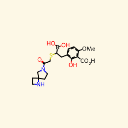 COc1ccc(CC(SCC(=O)N2CCC3(CCN3)C2)B(O)O)c(O)c1C(=O)O